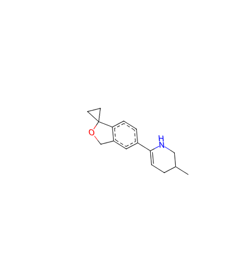 CC1CC=C(c2ccc3c(c2)COC32CC2)NC1